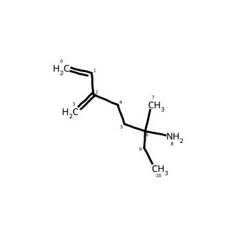 C=CC(=C)CCC(C)(N)CC